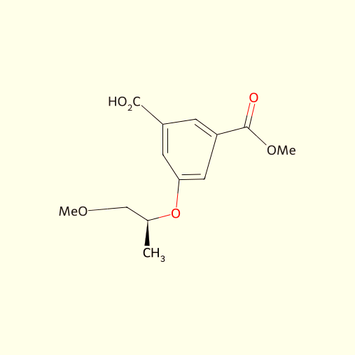 COC[C@H](C)Oc1cc(C(=O)O)cc(C(=O)OC)c1